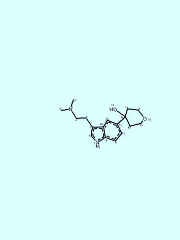 CN(C)CCc1c[nH]c2ccc(C3(O)CCOCC3)cc12